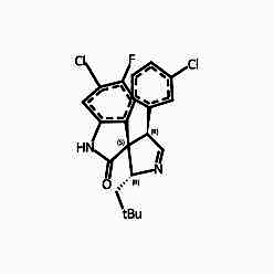 CC(C)(C)C[C@H]1N=C[C@H](c2cccc(Cl)c2)[C@@]12C(=O)Nc1cc(Cl)c(F)cc12